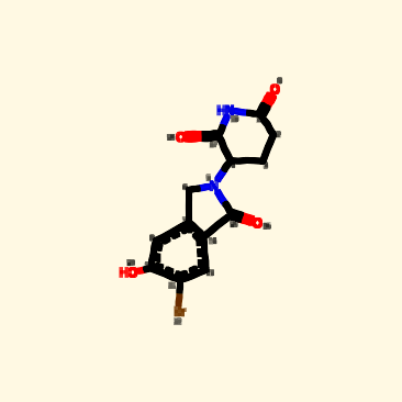 O=C1CCC(N2Cc3cc(O)c(Br)cc3C2=O)C(=O)N1